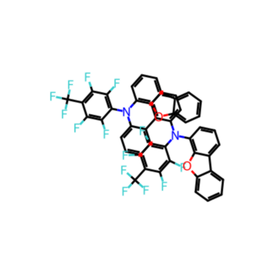 Fc1c(F)c(C(F)(F)F)c(F)c(F)c1N(c1ccccc1-c1ccccc1N(c1c(F)c(F)c(C(F)(F)F)c(F)c1F)c1cccc2c1oc1ccccc12)c1cccc2c1oc1ccccc12